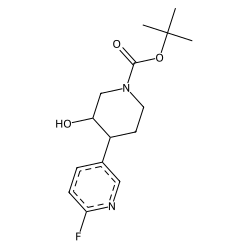 CC(C)(C)OC(=O)N1CCC(c2ccc(F)nc2)C(O)C1